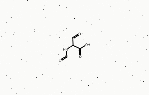 O=CNC(C=O)C(=O)O